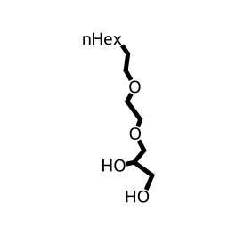 CCCCCCCCOCCOCC(O)CO